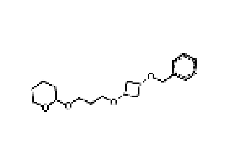 c1ccc(CO[C@H]2C[C@@H](OCCCOC3CCCCO3)C2)cc1